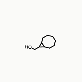 OCC1C2CCCCCCC12